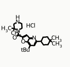 CC1(C)CCC(c2cc(C(C)(C)C)c3oc(C(=O)N4CCNCC4(C)C)cc3n2)CC1.Cl